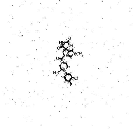 C[C@H]1CN(C(=O)CCC2(c3cn(C)cn3)NC(=O)NC2=O)CCN1c1ccc(F)c(Cl)c1